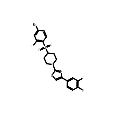 O=S(=O)(c1ccc(Br)cc1Cl)C1CCN(c2nc(-c3ccc(F)c(F)c3)cs2)CC1